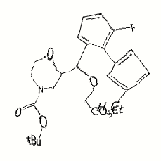 CCOC(=O)COC(c1cccc(F)c1-c1cccc(C)c1)C1CN(C(=O)OC(C)(C)C)CCO1